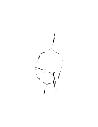 CCC1CC2CC(C)CC(C1)C(=O)O2